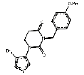 COc1ccc(CN2C(=O)CCN(c3cscc3Br)C2=O)cc1